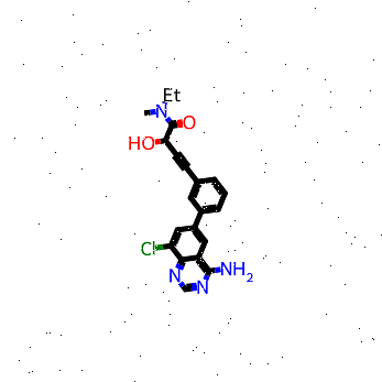 CCN(C)C(=O)C(O)C#Cc1cccc(-c2cc(Cl)c3ncnc(N)c3c2)c1